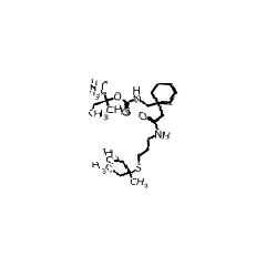 CCC(C)(C)OC(=O)NCC1(CC(=O)NCCCSC(C)(CC)CC)CCCCC1